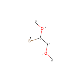 CO[CH]C(Br)OC